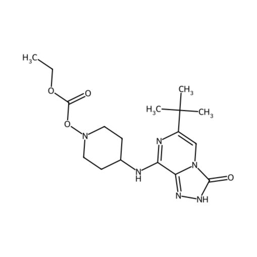 CCOC(=O)ON1CCC(Nc2nc(C(C)(C)C)cn3c(=O)[nH]nc23)CC1